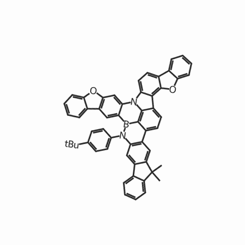 CC(C)(C)c1ccc(N2B3c4cc5c(cc4-n4c6ccc7c8ccccc8oc7c6c6ccc(c3c64)-c3cc4c(cc32)-c2ccccc2C4(C)C)oc2ccccc25)cc1